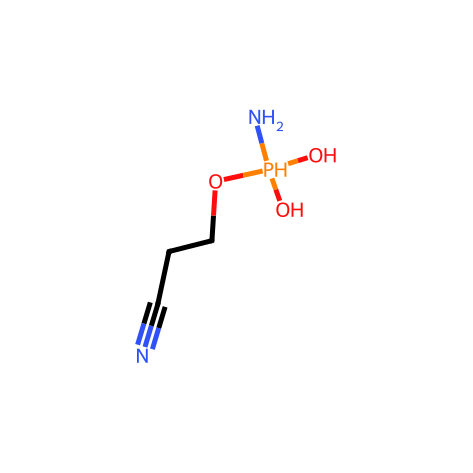 N#CCCO[PH](N)(O)O